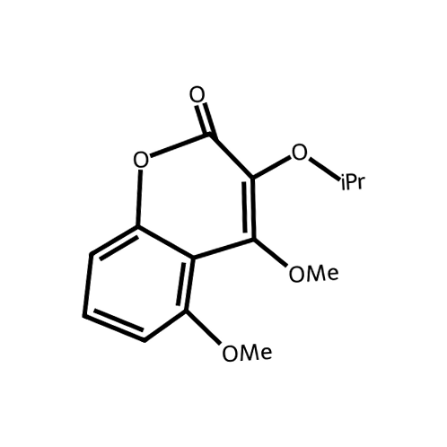 COc1cccc2oc(=O)c(OC(C)C)c(OC)c12